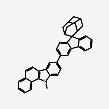 Cn1c2ccc(-c3ccc4c(c3)-c3ccccc3C43C4CC5CC(C4)CC3C5)cc2c2ccc3ccccc3c21